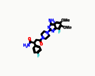 COc1cc2c(N)nc(N3CCN(C(=O)CC(C(N)=O)c4ccc(F)cc4)CC3)nc2c(F)c1OC